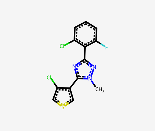 Cn1nc(-c2c(F)cccc2Cl)nc1-c1cscc1Cl